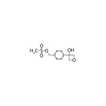 CS(=O)(=O)OCc1ccc(C2(O)COC2)cc1